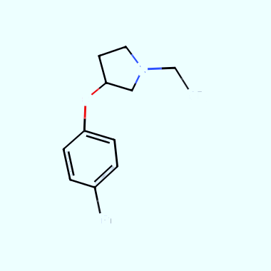 CC(C)c1ccc(OC2CCN(CC(F)(F)F)C2)cc1